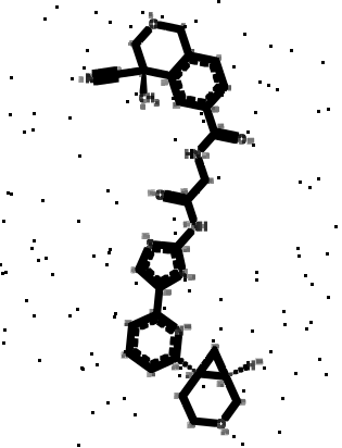 C[C@@]1(C#N)COCc2ccc(C(=O)NCC(=O)Nc3nc(-c4cccc([C@@]56CCOC[C@@H]5C6)n4)cs3)cc21